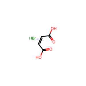 Br.O=C(O)/C=C\C(=O)O